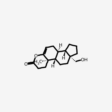 C[C@]12CCC(=O)OC1=CC[C@H]1[C@@H]3CCC[C@@]3(CO)CC[C@@H]12